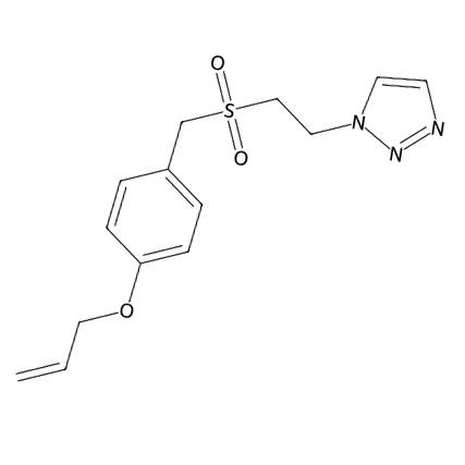 C=CCOc1ccc(CS(=O)(=O)CCn2ccnn2)cc1